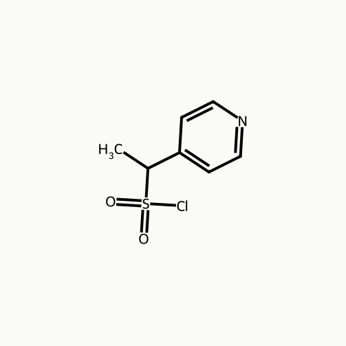 CC(c1ccncc1)S(=O)(=O)Cl